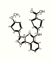 COc1ccc(-c2nnc3c4ccccc4c(Nc4ccc(C(=O)O)cc4)nn23)cc1